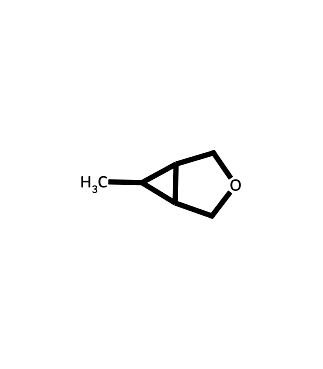 CC1C2COCC12